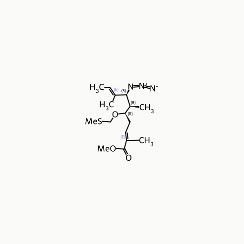 C/C=C(\C)[C@@H](N=[N+]=[N-])[C@@H](C)[C@@H](C/C=C(\C)C(=O)OC)OCSC